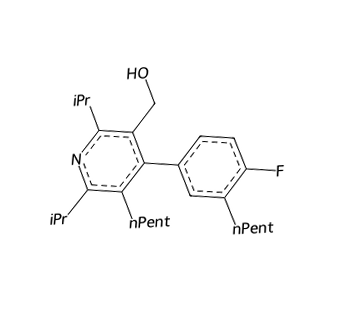 CCCCCc1cc(-c2c(CO)c(C(C)C)nc(C(C)C)c2CCCCC)ccc1F